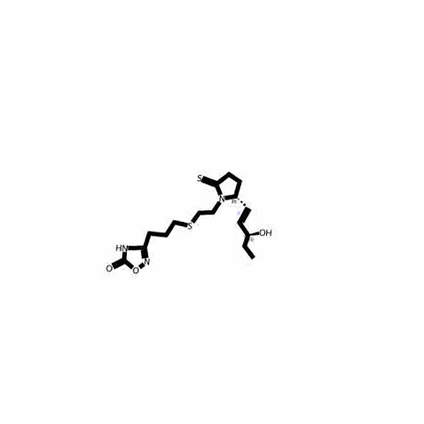 CC[C@H](O)/C=C/[C@H]1CCC(=S)N1CCSCCCc1noc(=O)[nH]1